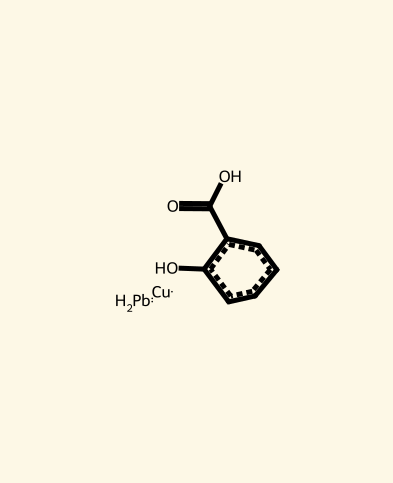 O=C(O)c1ccccc1O.[Cu].[PbH2]